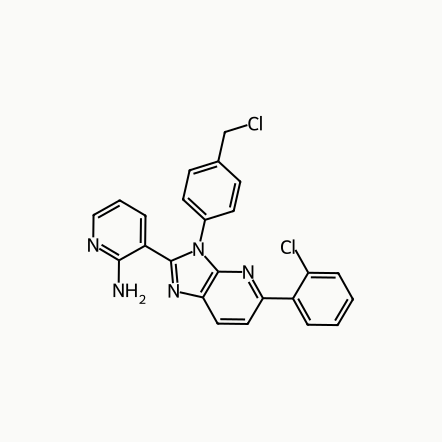 Nc1ncccc1-c1nc2ccc(-c3ccccc3Cl)nc2n1-c1ccc(CCl)cc1